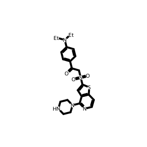 CCN(CC)c1ccc(C(=O)CS(=O)(=O)c2cc3c(N4CCNCC4)nccc3s2)cc1